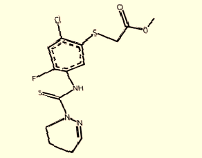 COC(=O)CSc1cc(NC(=S)N2CCCC=N2)c(F)cc1Cl